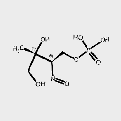 C[C@](O)(CO)[C@@H](COP(=O)(O)O)N=O